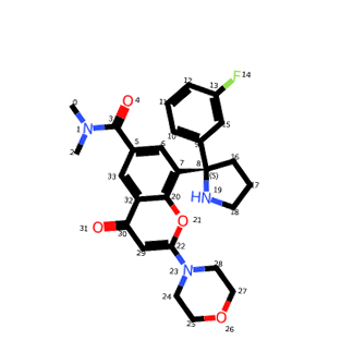 CN(C)C(=O)c1cc([C@@]2(c3cccc(F)c3)CCCN2)c2oc(N3CCOCC3)cc(=O)c2c1